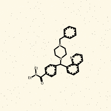 CCN(CC)C(=O)c1ccc(C(c2cccc3cccnc23)N2CCN(Cc3ccccc3)CC2)cc1